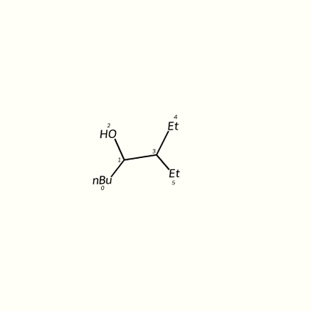 CCCCC(O)C(CC)CC